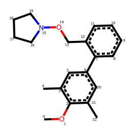 COc1c(C)cc(-c2ccccc2CON2CCCC2)cc1C